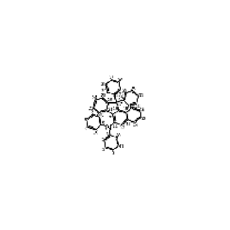 c1ccc(N(c2ccccc2)c2cc3ccccc3c3c2-c2ccccc2C3(c2ccccc2)c2ccccc2)cc1